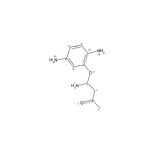 CC(=O)CC(N)Oc1cc(N)ccc1N